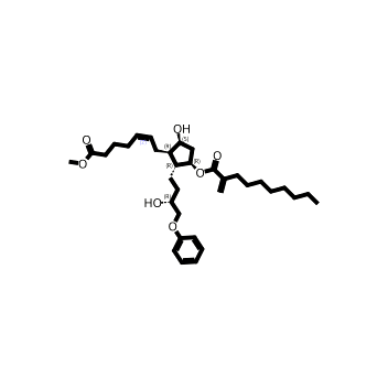 C=C(CCCCCCCC)C(=O)O[C@@H]1C[C@H](O)[C@H](C/C=C\CCCC(=O)OC)[C@H]1CC[C@@H](O)COc1ccccc1